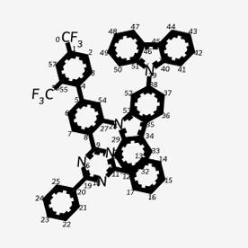 FC(F)(F)c1ccc(-c2ccc(-c3nc(-c4ccccc4)nc(-c4ccccc4)n3)c(-n3c4ccccc4c4ccc(-n5c6ccccc6c6ccccc65)cc43)c2)c(C(F)(F)F)c1